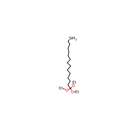 CCOC(CCCCCCCCCCCCC[SiH3])(OCC)OCC